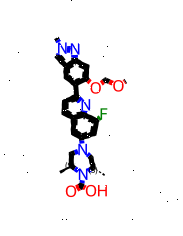 COCOc1cc2nn(C)cc2cc1-c1ccc2cc(N3C[C@H](C)N(C(=O)O)[C@@H](C)C3)cc(F)c2n1